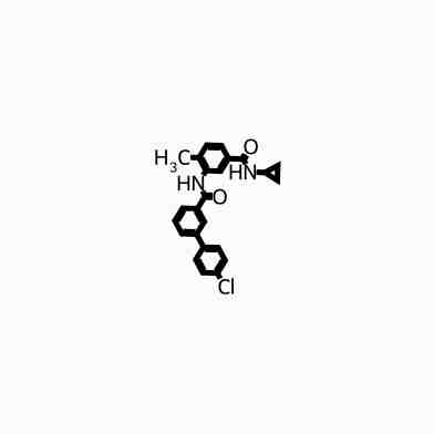 Cc1ccc(C(=O)NC2CC2)cc1NC(=O)c1cccc(-c2ccc(Cl)cc2)c1